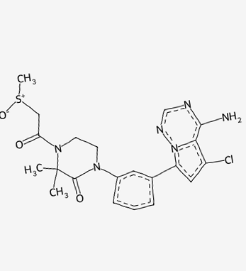 C[S+]([O-])CC(=O)N1CCN(c2cccc(-c3cc(Cl)c4c(N)ncnn34)c2)C(=O)C1(C)C